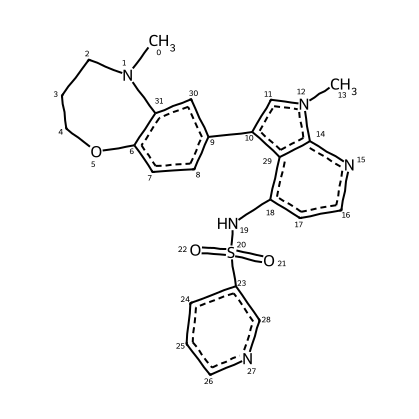 CN1CCCOc2ccc(-c3cn(C)c4nccc(NS(=O)(=O)c5cccnc5)c34)cc21